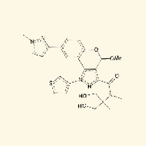 COC1Oc2ccc(-c3ccn(C)n3)cc2-c2c1c(C(=O)N(C)C(C)(CO)CO)nn2-c1ccsc1